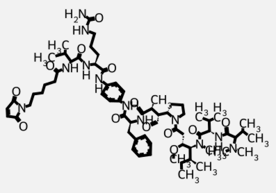 CC[C@H](C)[C@@H]([C@@H](CC(=O)N1CCC[C@H]1[C@H](C=O)[C@@H](C)C(=O)N[C@@H](Cc1ccccc1)C(=O)Nc1ccc(NC(=O)[C@H](CCCNC(N)=O)NC(=O)[C@@H](NC(=O)CCCCCN2C(=O)C=CC2=O)C(C)C)cc1)OC)N(C)C(=O)[C@@H](NC(=O)C(C(C)C)N(C)C)C(C)C